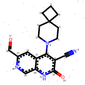 N#Cc1c(N2CCC3(CCC3)CC2)c2cc(C=O)ncc2[nH]c1=O